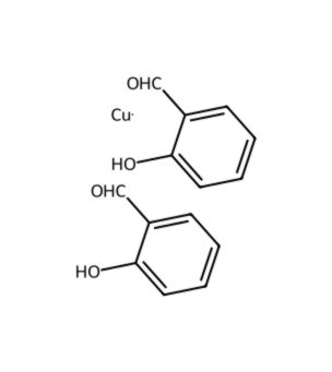 O=Cc1ccccc1O.O=Cc1ccccc1O.[Cu]